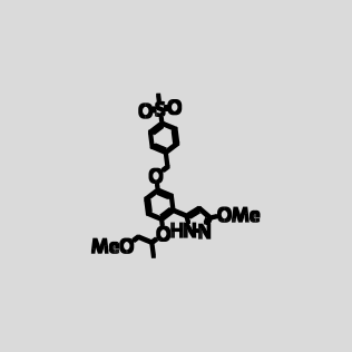 COCC(C)Oc1ccc(OCc2ccc(S(C)(=O)=O)cc2)cc1-c1cc(OC)n[nH]1